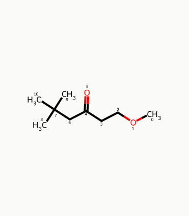 COCCC(=O)CC(C)(C)C